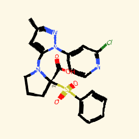 Cc1cc(N2CCC[C@@]2(C(=O)O)S(=O)(=O)c2ccccc2)n(-c2ccnc(Cl)c2)n1